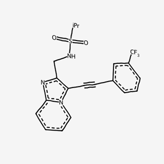 CC(C)S(=O)(=O)NCc1nc2ccccn2c1C#Cc1cccc(C(F)(F)F)c1